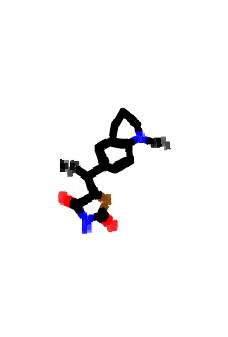 CC(c1ccc2c(c1)CCCN2C)C1SC(=O)NC1=O